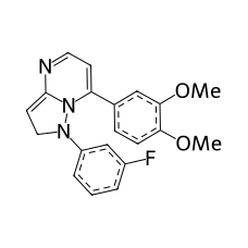 COc1ccc(C2=CC=NC3=CCN(c4cccc(F)c4)N32)cc1OC